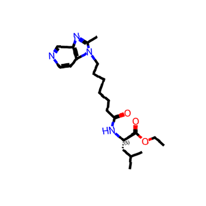 CCOC(=O)[C@H](CC(C)C)NC(=O)CCCCCCn1c(C)nc2cnccc21